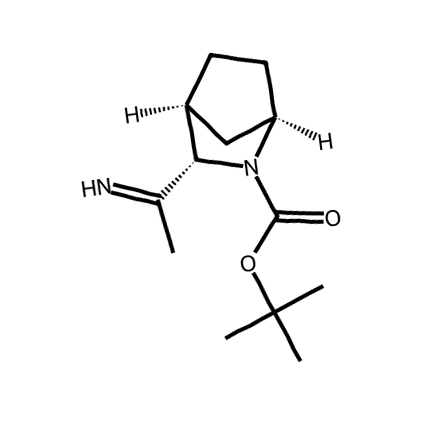 CC(=N)[C@@H]1[C@H]2CC[C@H](C2)N1C(=O)OC(C)(C)C